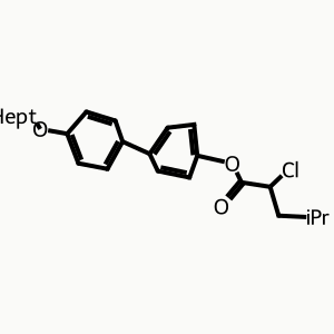 CCCCCCCOc1ccc(-c2ccc(OC(=O)C(Cl)CC(C)C)cc2)cc1